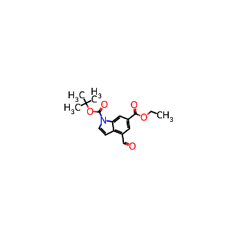 CCOC(=O)c1cc(C=O)c2ccn(C(=O)OC(C)(C)C)c2c1